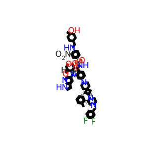 Cc1ccccc1[C@@H]1CN(Cc2ccc(F)c(F)c2)CCN1[C@H]1CC2(CCN(c3ccc(C(=O)NS(=O)(=O)c4ccc(NCC5CCC(C)(O)CC5)c([N+](=O)[O-])c4)c(N4c5cc6cc[nH]c6nc5O[C@H]5COCC[C@@H]54)c3)CC2)[C@H]1C